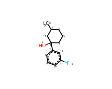 CC1CCCC(O)(c2cccc(F)c2)C1